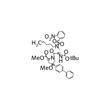 C=CCCCN(C[C@H](NC(=O)OC(C)(C)C)C(=O)N1C[C@](OC)(c2ccc(-c3ccccc3)cc2)C[C@H]1C(=O)OC)S(=O)(=O)c1ccccc1[N+](=O)[O-]